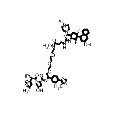 CC(=O)N1CCN(c2nc(NCCC(=O)N(C)CCOCCOCCOC/C(=N\C(=O)[C@@H]3C[C@@H](O)CN3C(=O)C(c3cc(C)no3)C(C)C)c3ccc(-c4scnc4C)cc3)nc3c(F)c(-c4cc(O)cc5ccccc45)c(Cl)cc23)CC1